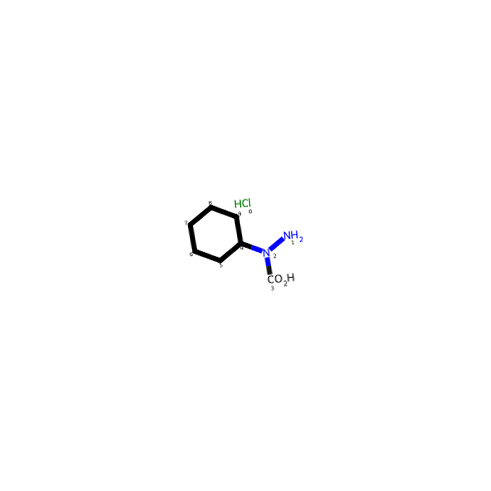 Cl.NN(C(=O)O)C1CCCCC1